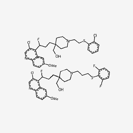 COc1ccc2ncc(Cl)c(C(F)CCC3(CO)CCN(CCCSc4c(F)cccc4F)CC3)c2c1.COc1ccc2ncc(Cl)c(C(F)CCC3(CO)CCN(CCSc4ccccc4Cl)CC3)c2c1